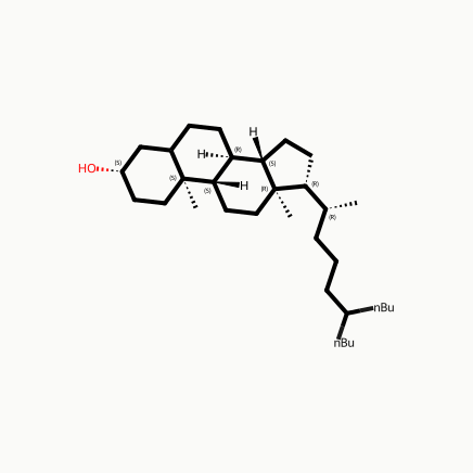 CCCCC(CCCC)CCC[C@@H](C)[C@H]1CC[C@H]2[C@@H]3CCC4C[C@@H](O)CC[C@]4(C)[C@H]3CC[C@]12C